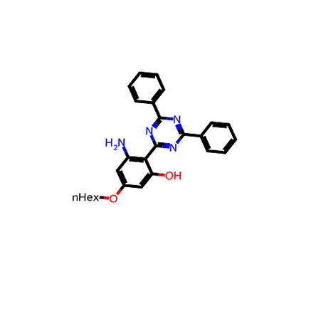 CCCCCCOc1cc(N)c(-c2nc(-c3ccccc3)nc(-c3ccccc3)n2)c(O)c1